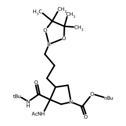 CCCCOC(=O)N1CC(CCCB2OC(C)(C)C(C)(C)O2)C(NC(C)=O)(C(=O)NC(C)(C)C)C1